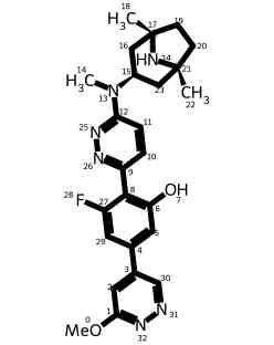 COc1cc(-c2cc(O)c(-c3ccc(N(C)[C@H]4C[C@]5(C)CC[C@](C)(C4)N5)nn3)c(F)c2)cnn1